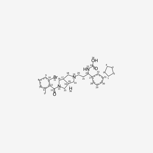 C1CCCC1.Cc1cccc(Br)c1C(=O)N1CC2CN(CCC(NC(=O)O)c3ccccc3)C[C@H]2C1